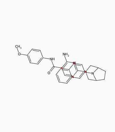 COc1ccc(NC(=O)c2cnc(N3CC4CCC(C3)N4c3cnc4ccccc4c3)nc2N)cc1